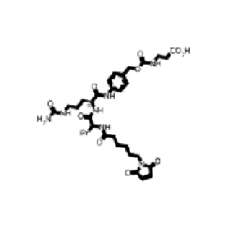 CC(C)C(NC(=O)CCCCCN1C(=O)C=CC1=O)C(=O)N[C@@H](CCCNC(N)=O)C(=O)Nc1ccc(COC(=O)NCCC(=O)O)cc1